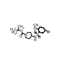 COc1ccc(Br)cc1S(=O)(=O)NC1CCN(C(=O)OC(C)(C)C)CC1